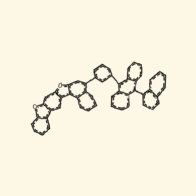 c1cc(-c2c3ccccc3c(-c3cccc4ccccc34)c3ccccc23)cc(-c2cc3oc4cc5oc6ccccc6c5cc4c3c3ccccc23)c1